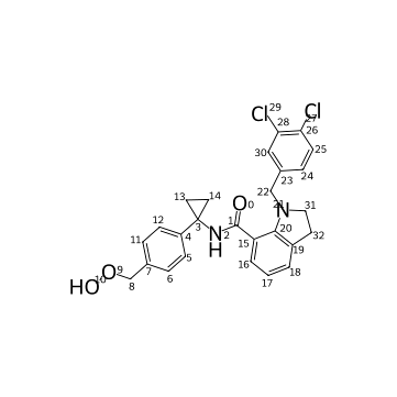 O=C(NC1(c2ccc(COO)cc2)CC1)c1cccc2c1N(Cc1ccc(Cl)c(Cl)c1)CC2